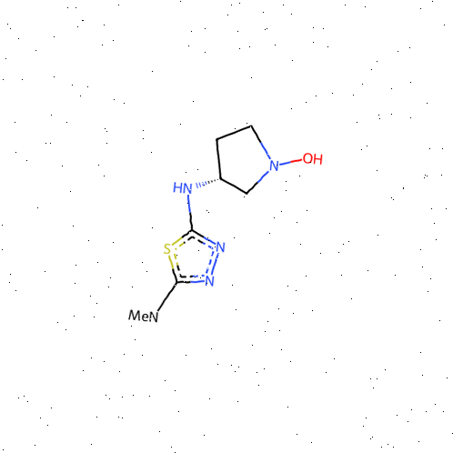 CNc1nnc(N[C@@H]2CCN(O)C2)s1